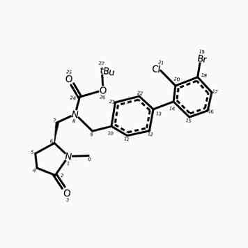 CN1C(=O)CC[C@H]1CN(Cc1ccc(-c2cccc(Br)c2Cl)cc1)C(=O)OC(C)(C)C